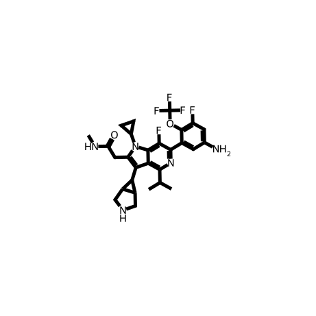 CNC(=O)Cc1c(C2C3CNCC32)c2c(C(C)C)nc(-c3cc(N)cc(F)c3OC(F)(F)F)c(F)c2n1C1CC1